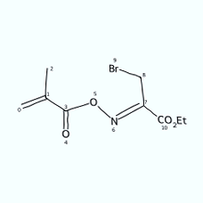 C=C(C)C(=O)ON=C(CBr)C(=O)OCC